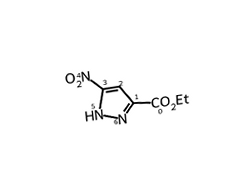 CCOC(=O)c1cc([N+](=O)[O-])[nH]n1